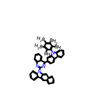 Bc1c(B)c(B)c(-n2c3ccccc3c3ccc(-c4nc(-n5c6ccccc6c6cc7ccccc7cc65)nc5ccccc45)cc32)c(B)c1B